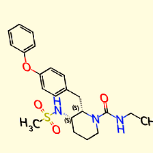 CCNC(=O)N1CCC[C@H](NS(C)(=O)=O)[C@@H]1Cc1ccc(Oc2ccccc2)cc1